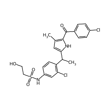 Cc1cc(C(C)c2ccc(NS(=O)(=O)CCO)cc2Cl)[nH]c1C(=O)c1ccc(Cl)cc1